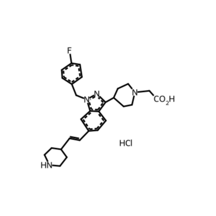 Cl.O=C(O)CN1CCC(c2nn(Cc3ccc(F)cc3)c3cc(C=CC4CCNCC4)ccc23)CC1